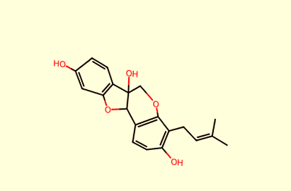 CC(C)=CCc1c(O)ccc2c1OCC1(O)c3ccc(O)cc3OC21